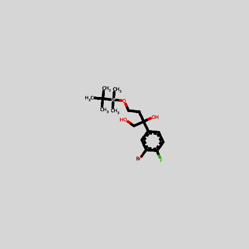 CC(C)(C)[Si](C)(C)OCCC(O)(CO)c1ccc(F)c(Br)c1